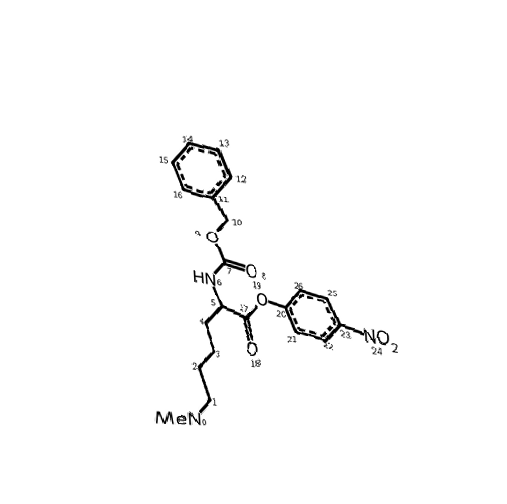 CNCCCCC(NC(=O)OCc1ccccc1)C(=O)Oc1ccc([N+](=O)[O-])cc1